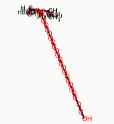 CCCC[Si](C)(C)O[Si](C)(C)CCCOCC(COCCC[Si](C)(C)O[Si](C)(C)CCCC)OCCOCCOCCOCCOCCOCCOCCOCCOCCOCCOCCOCCOCCOCCOCCOCCOCCOCCOCCOCCOCCCCOCCCCOCCCCO